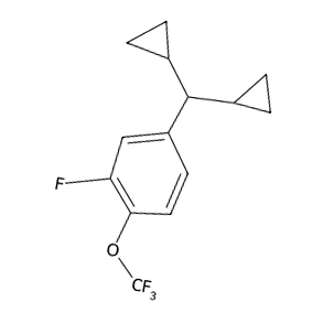 Fc1cc(C(C2CC2)C2CC2)ccc1OC(F)(F)F